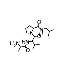 CC(C)CNC(=O)C1CCCN1C(=O)C(NC(=O)C(C)N)C(C)C